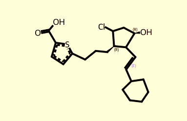 O=C(O)c1ccc(CCC[C@H]2C(Cl)C[C@@H](O)C2/C=C/C2CCCCC2)s1